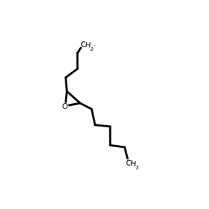 [CH2]CCCC1OC1CCCCCC